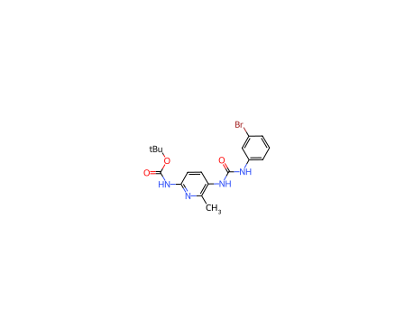 Cc1nc(NC(=O)OC(C)(C)C)ccc1NC(=O)Nc1cccc(Br)c1